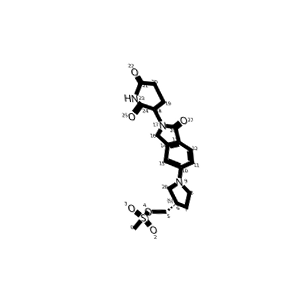 CS(=O)(=O)OC[C@H]1CCN(c2ccc3c(c2)CN(C2CCC(=O)NC2=O)C3=O)C1